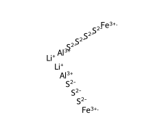 [Al+3].[Al+3].[Fe+3].[Fe+3].[Li+].[Li+].[S-2].[S-2].[S-2].[S-2].[S-2].[S-2].[S-2]